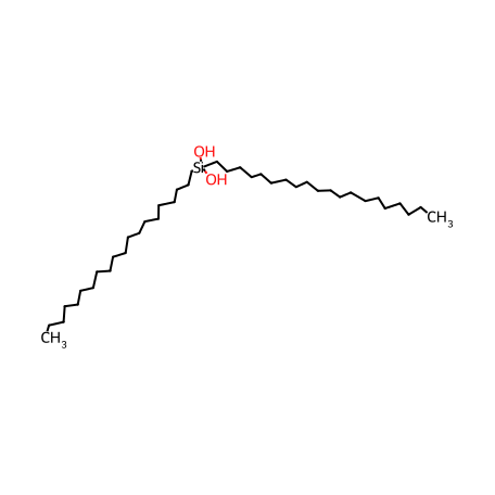 CCCCCCCCCCCCCCCCCCCC[Si](O)(O)CCCCCCCCCCCCCCCCCCCC